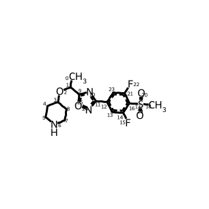 CC(OC1CCNCC1)c1nc(-c2cc(F)c(S(C)(=O)=O)c(F)c2)no1